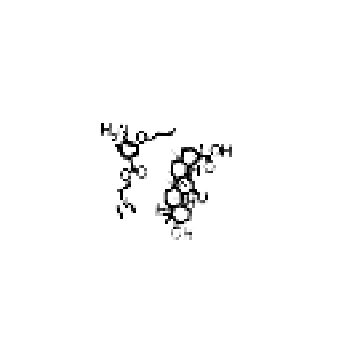 CC1(C)[C@@H](O)CC[C@]2(C)[C@H]3C(=O)C=C4[C@@H]5C[C@@](C)(C(=O)O)CC[C@]5(C)CC[C@@]4(C)[C@]3(C)CC[C@@H]12.CCCCOc1cc(C(=O)OCCN(CC)CC)ccc1N